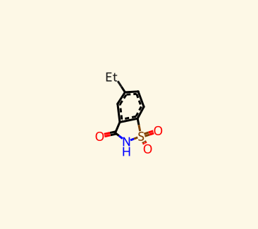 CCc1ccc2c(c1)C(=O)NS2(=O)=O